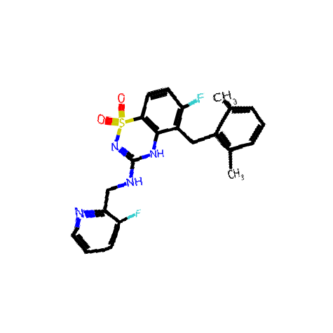 Cc1cccc(C)c1Cc1c(F)ccc2c1NC(NCc1ncccc1F)=NS2(=O)=O